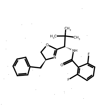 CC(C)(C)[C@H](NC(=O)c1c(F)cccc1F)C1=N[C@@H](Cc2ccccc2)CO1